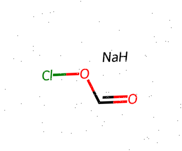 O=COCl.[NaH]